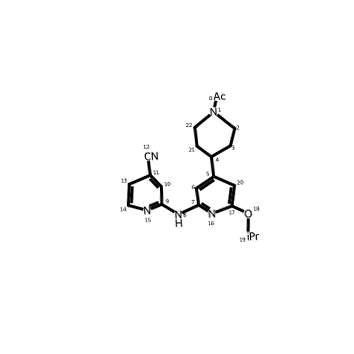 CC(=O)N1CCC(c2cc(Nc3cc(C#N)ccn3)nc(OC(C)C)c2)CC1